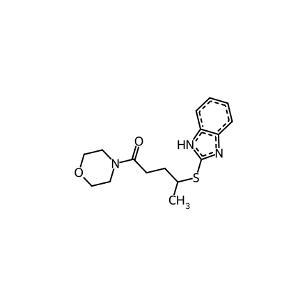 CC(CCC(=O)N1CCOCC1)Sc1nc2ccccc2[nH]1